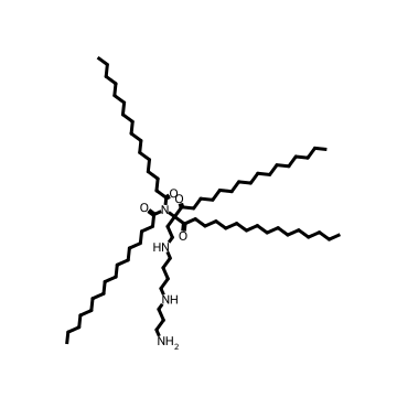 CCCCCCCCCCCCCCCC(=O)N(C(=O)CCCCCCCCCCCCCCC)C(CCNCCCCNCCCN)(C(=O)CCCCCCCCCCCCCCC)C(=O)CCCCCCCCCCCCCCC